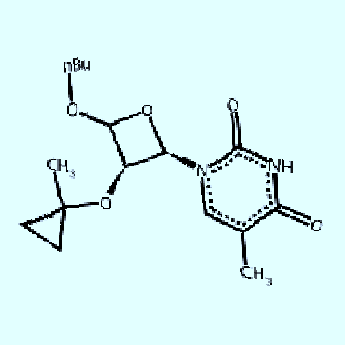 CCCCOC1O[C@@H](n2cc(C)c(=O)[nH]c2=O)[C@H]1OC1(C)CC1